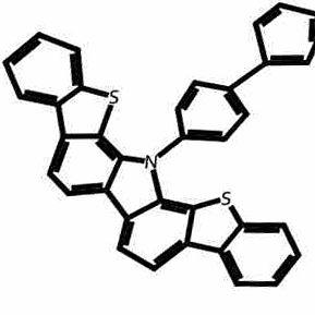 c1ccc(-c2ccc(-n3c4c(ccc5c6ccccc6sc54)c4ccc5c6ccccc6sc5c43)cc2)cc1